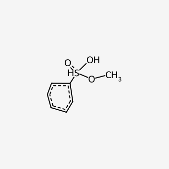 CO[SH](=O)(O)c1ccccc1